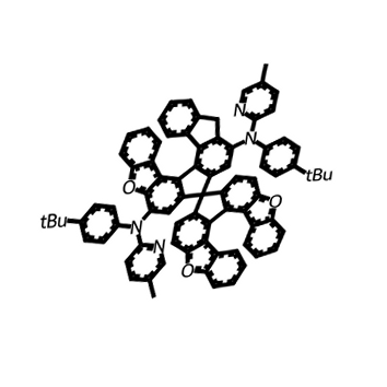 Cc1ccc(N(c2ccc(C(C)(C)C)cc2)c2cc3c(c4c2Cc2ccccc2-4)-c2c(cc(N(c4ccc(C(C)(C)C)cc4)c4ccc(C)cn4)c4oc5ccccc5c24)C32c3ccc4oc5ccccc5c4c3-c3c2ccc2oc4ccccc4c32)nc1